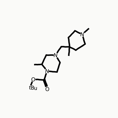 CC1CN(CC2(C)CCN(C)CC2)CCN1C(=O)OC(C)(C)C